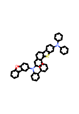 c1ccc(-c2ccccc2N(c2ccc3c(ccc4c5ccc(N(c6ccccc6)c6ccccc6)cc5sc34)c2)c2ccc3oc4ccccc4c3c2)cc1